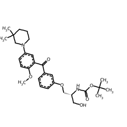 COc1ccc(N2CCCC(C)(C)C2)cc1C(=O)c1cccc(OC[C@@H](CO)NC(=O)OC(C)(C)C)c1